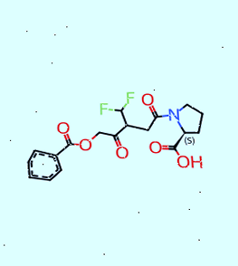 O=C(OCC(=O)C(CC(=O)N1CCC[C@H]1C(=O)O)C(F)F)c1ccccc1